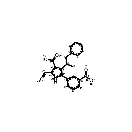 CC(Cc1ccccc1)c1c(-c2cccc([N+](=O)[O-])c2)[nH]c(C=O)c1C(=O)O